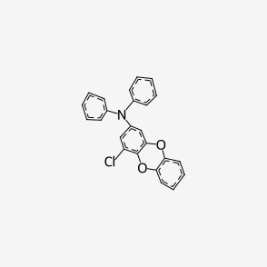 Clc1cc(N(c2ccccc2)c2ccccc2)cc2c1Oc1ccccc1O2